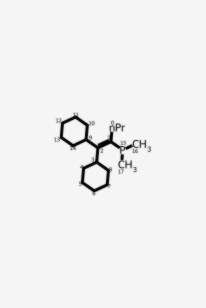 CCCC(=C(C1CCCCC1)C1CCCCC1)P(C)C